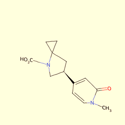 Cn1ccc([C@H]2CN(C(=O)O)C3(CC3)C2)cc1=O